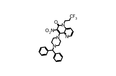 O=c1c([N+](=O)[O-])c(N2CCN(C(c3ccccc3)c3ccccc3)CC2)c2ncccc2n1CCC(F)(F)F